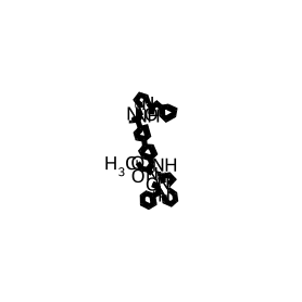 COC(=O)c1nc([C@@H]2CCCN2C(=O)[C@@H](C2=CC=CCC2)N2CCCCC2)[nH]c1-c1ccc(-c2ccc(-c3cnc([C@@H]4CCCN4C(=O)Cc4ccccc4)[nH]3)cc2)cc1